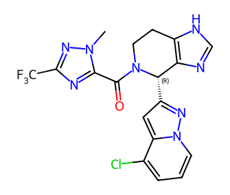 Cn1nc(C(F)(F)F)nc1C(=O)N1CCc2[nH]cnc2[C@@H]1c1cc2c(Cl)cccn2n1